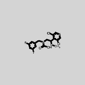 COC(CN(Cc1cc(F)cc(F)c1)C(=O)O)c1c(Cl)cncc1Cl